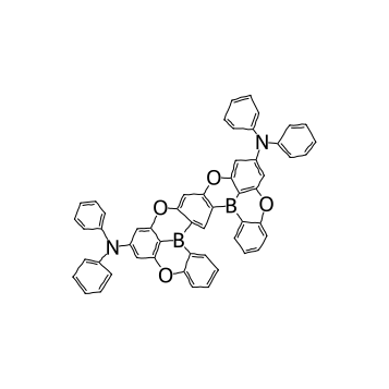 c1ccc(N(c2ccccc2)c2cc3c4c(c2)Oc2cc5c(cc2B4c2ccccc2O3)B2c3ccccc3Oc3cc(N(c4ccccc4)c4ccccc4)cc(c32)O5)cc1